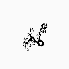 NC(=O)Nc1sc(-c2ccccc2OCCNCc2ccncc2)cc1C(N)=O